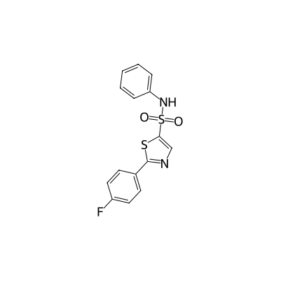 O=S(=O)(Nc1ccccc1)c1cnc(-c2ccc(F)cc2)s1